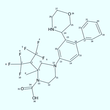 CC1(C(C(F)(F)F)C(F)(F)F)CN(c2ccc(-c3ccccc3)c(C3COCCN3)c2)CCN1C(=O)O